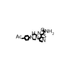 CC(=O)Cc1ccc(N2CCCN(c3ccnc4sc(C(N)=O)c(N)c34)CC2)cc1